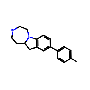 CCc1ccc(-c2ccc3c(c2)CC2CCNCCN32)cc1